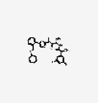 CCC[C@H](NC(=O)C(C)c1cc(F)cc(F)c1)C(=O)Nc1ncc(-c2ccccc2COC2CCCCC2)s1